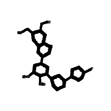 COc1cc(-c2cnc3cc(CO)c(CO)cc3c2)cc(-c2cccc(-c3ccc(F)cc3)c2)c1OC